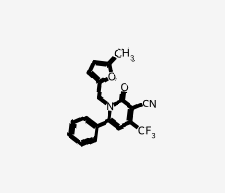 Cc1ccc(Cn2c(-c3ccccc3)cc(C(F)(F)F)c(C#N)c2=O)o1